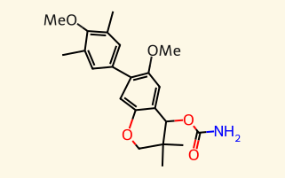 COc1cc2c(cc1-c1cc(C)c(OC)c(C)c1)OCC(C)(C)C2OC(N)=O